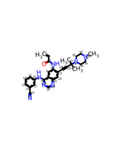 C=CC(=O)Nc1cc2c(Nc3cccc(C#N)c3)ncnc2cc1C#CC(C)(C)N1CCN(C)CC1